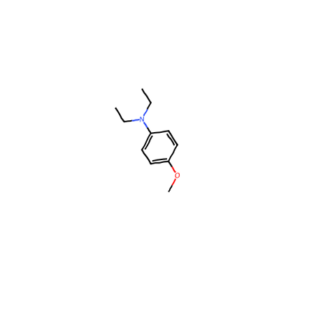 CCN(CC)c1ccc(OC)cc1